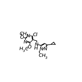 CCn1nc(C2CC2)cc1NCc1c(Cl)nc(OC)nc1OC